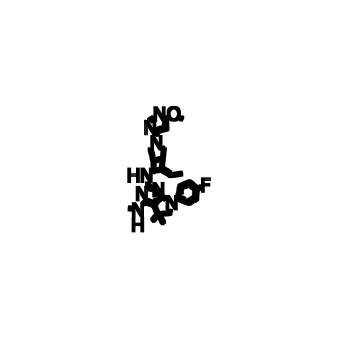 C/C=C1\C2CN(c3cc(OC)ncn3)CC2C1Nc1nc(NC)c2c(n1)N(c1ccc(F)cc1)CC2(C)C